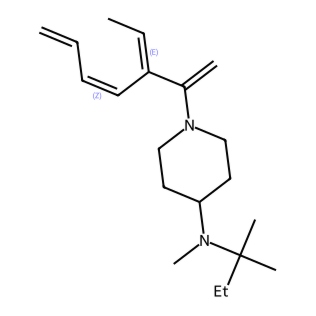 C=C/C=C\C(=C/C)C(=C)N1CCC(N(C)C(C)(C)CC)CC1